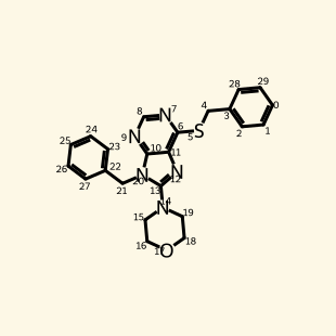 c1ccc(CSc2ncnc3c2nc(N2CCOCC2)n3Cc2ccccc2)cc1